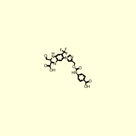 O=CC1Nc2cc(C(F)(F)F)c(-n3cnc(COC(=O)Nc4ccc(C(=O)O)cc4)c3)cc2N=C1C(=O)O